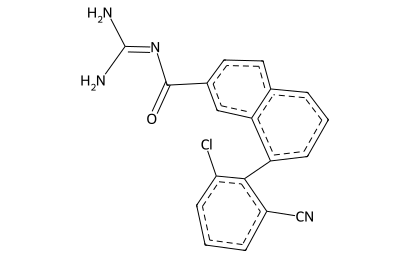 N#Cc1cccc(Cl)c1-c1cccc2ccc(C(=O)N=C(N)N)cc12